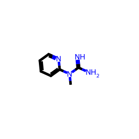 CN(C(=N)N)c1ccccn1